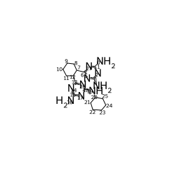 Nc1nc(N)nc(C2CCCCC2c2nc(N)nc(NC3CCCCC3)n2)n1